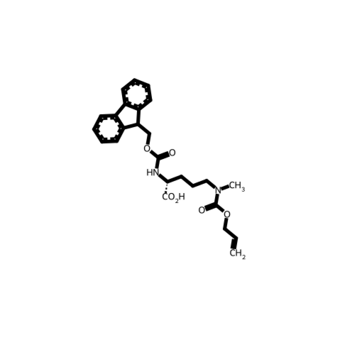 C=CCOC(=O)N(C)CCC[C@@H](NC(=O)OCC1c2ccccc2-c2ccccc21)C(=O)O